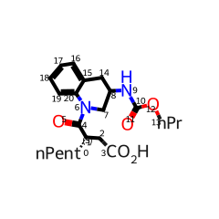 CCCCC[C@@H](CC(=O)O)C(=O)N1CC(NC(=O)OCCC)Cc2ccccc21